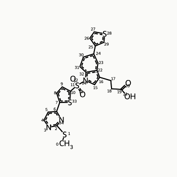 CSc1nccc(-c2ccc(S(=O)(=O)n3cc(CCC(=O)O)c4cc(-c5ccsc5)ccc43)s2)n1